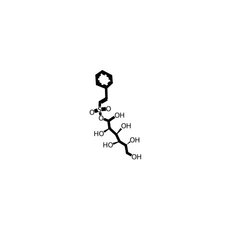 O=S(=O)(C=Cc1ccccc1)OC(O)[C@H](O)[C@@H](O)[C@H](O)[C@H](O)CO